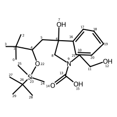 CC(C)(C)C(CC(O)(CN(CCO)C(=O)O)c1ccccc1)O[Si](C)(C)C(C)(C)C